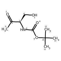 CC(=O)[C@@H](CO)NC(=O)OC(C)(C)C